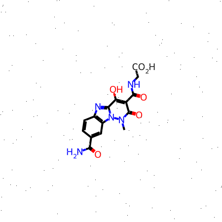 Cn1c(=O)c(C(=O)NCC(=O)O)c(O)c2nc3ccc(C(N)=O)cc3n21